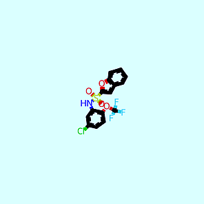 O=S(=O)(Nc1cc(Cl)ccc1OC(F)(F)F)c1cc2ccccc2o1